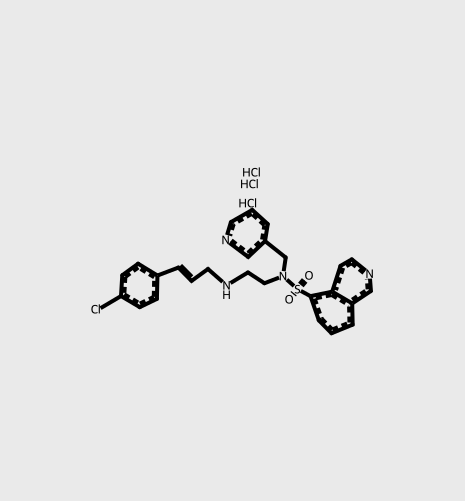 Cl.Cl.Cl.O=S(=O)(c1cccc2cnccc12)N(CCNCC=Cc1ccc(Cl)cc1)Cc1cccnc1